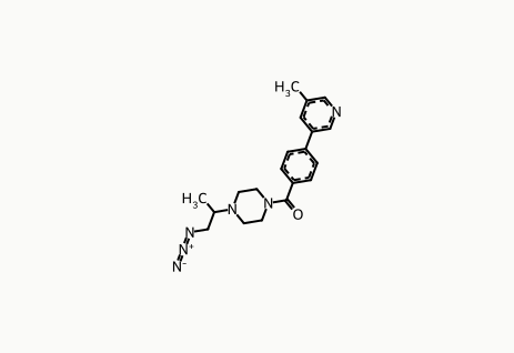 Cc1cncc(-c2ccc(C(=O)N3CCN(C(C)CN=[N+]=[N-])CC3)cc2)c1